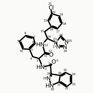 O=C(NC(Cc1ccccc1)C(=O)NC(Cc1cccc(Cl)c1)n1cnnn1)c1n[nH]c2ccccc12